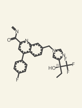 C=NC(=O)c1cc(-c2ccc(F)cc2)c2ccc(Cn3cnc([C@@](O)(CC)C(F)(F)F)c3)cc2n1